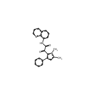 Cc1cc(-c2ccccc2)c(C(=O)C(=O)Nc2cccc3cccnc23)n1C